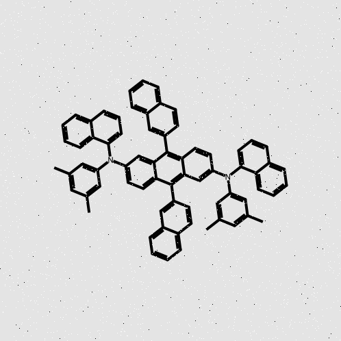 Cc1cc(C)cc(N(c2ccc3c(-c4ccc5ccccc5c4)c4cc(N(c5cc(C)cc(C)c5)c5cccc6ccccc56)ccc4c(-c4ccc5ccccc5c4)c3c2)c2cccc3ccccc23)c1